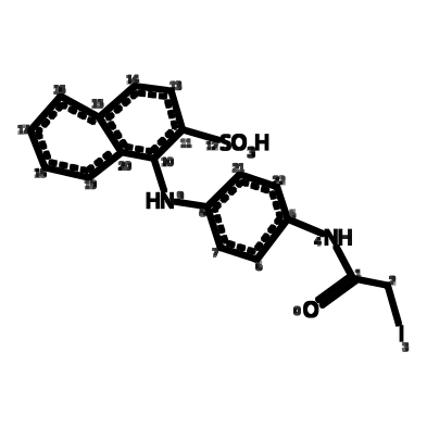 O=C(CI)Nc1ccc(Nc2c(S(=O)(=O)O)ccc3ccccc23)cc1